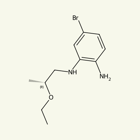 CCO[C@H](C)CNc1cc(Br)ccc1N